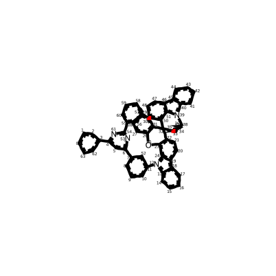 c1ccc(-c2cc(-c3cccc(-n4c5ccccc5c5ccc6c(c54)Oc4ccccc4C64c5ccccc5-n5c6ccccc6c6cccc4c65)c3)nc(-c3ccccc3)n2)cc1